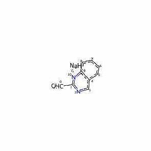 O=Cc1ncc2ccccc2n1.[NaH]